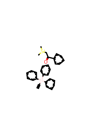 C#C[B-](c1ccccc1)(c1ccccc1)c1ccccc1.C[S+](C)CC(=O)c1ccccc1